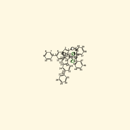 CC1=Cc2cc(-c3ccccc3)ccc2[CH]1[Hf]([Cl])([Cl])([CH]1C(C)=Cc2cc(-c3ccccc3)ccc21)[SiH](c1ccccc1)c1ccccc1